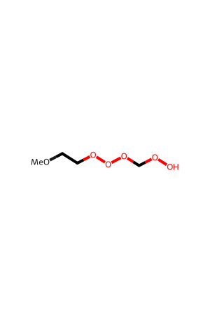 COCCOOOCOO